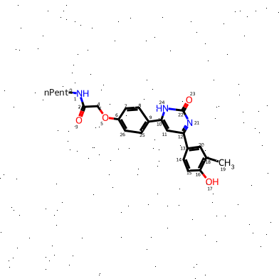 CCCCCNC(=O)COc1ccc(-c2cc(-c3ccc(O)c(C)c3)nc(=O)[nH]2)cc1